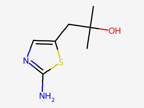 CC(C)(O)Cc1cnc(N)s1